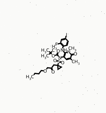 CCCCOCC(=O)CC1(S(=O)(=O)N(C(=O)OC(C)(C)C)c2cc(C)c(=O)n(C)c2Nc2ccc(I)cc2F)CC1